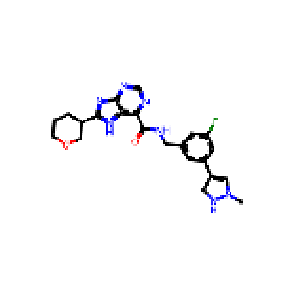 CN1C=C(c2cc(F)cc(CNC(=O)c3ncnc4nc(C5CCCOC5)[nH]c34)c2)CN1